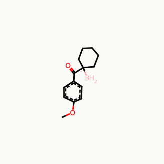 BC1(C(=O)c2ccc(OC)cc2)CCCCC1